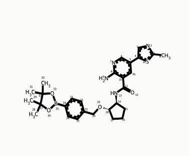 Cc1ncc(-c2cnc(N)c(C(=O)N[C@H]3CCC[C@@H]3OCc3ccc(B4OC(C)(C)C(C)(C)O4)cc3)c2)s1